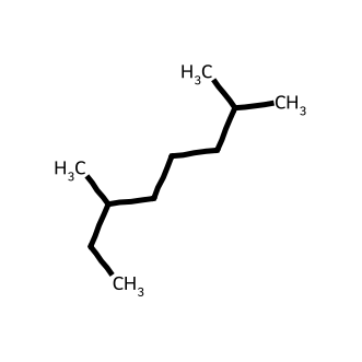 CCC(C)CCC[C](C)C